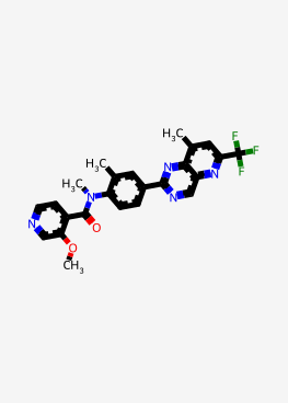 COc1cnccc1C(=O)N(C)c1ccc(-c2ncc3nc(C(F)(F)F)cc(C)c3n2)cc1C